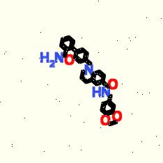 NC(=O)c1ccccc1-c1ccc(CN2CCCc3cc(C(=O)NCc4ccc5c(c4)OCCO5)ccc32)cc1